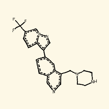 FC(F)(F)c1ccc2c(-c3ccc4cncc(CN5CCNCC5)c4c3)cnn2c1